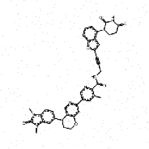 Cc1cc(-c2ncc3c(n2)OCCN3c2ccc3c(c2)n(C)c(=O)n3C)cnc1C(=O)NCC#Cc1cc2c([C@@H]3CCC(=O)NC3=O)cccc2o1